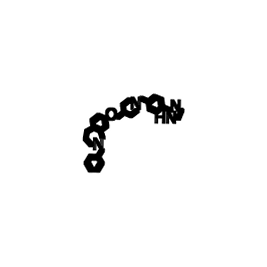 c1ccc(CN2CCCc3ccc(OCC4CCN(Cc5ccc(C6=NCCN6)cc5)CC4)cc3C2)cc1